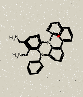 NCc1cccc(N(c2ccccc2)c2cccc(-c3ccccc3)c2N(c2ccccc2)c2cccc(CN)c2)c1